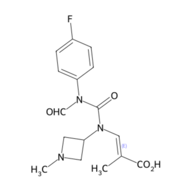 C/C(=C\N(C(=O)N(C=O)c1ccc(F)cc1)C1CN(C)C1)C(=O)O